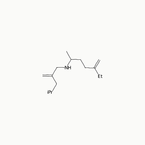 C=C(CC)CCC(C)NCC(=C)CC(C)C